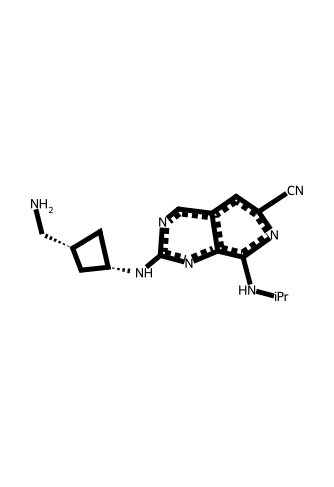 CC(C)Nc1nc(C#N)cc2cnc(N[C@H]3C[C@@H](CN)C3)nc12